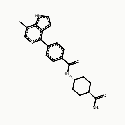 NC(=O)[C@H]1CC[C@H](NC(=O)c2ccc(-c3ncc(F)c4[nH]ccc34)cc2)CC1